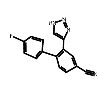 N#Cc1ccc(-c2ccc(F)cc2)c(-c2c[nH]nn2)c1